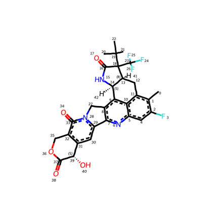 Cc1c(F)cc2nc3c(c4c2c1C[C@H]1[C@@H]4NC(=O)C1(C(C)(C)C)C(F)(F)F)Cn1c-3cc2c(c1=O)COC(=O)[C@H]2O